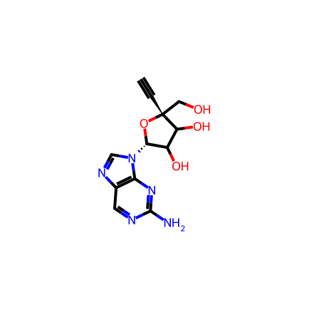 C#C[C@]1(CO)O[C@@H](n2cnc3cnc(N)nc32)C(O)C1O